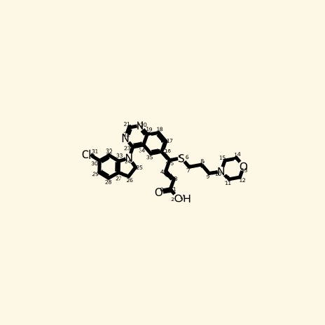 O=C(O)C=CC(SCCCN1CCOCC1)c1ccc2ncnc(N3CCc4ccc(Cl)cc43)c2c1